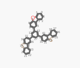 c1ccc2c(c1)oc1ccc(-c3cc(-c4ccc5sc6ccccc6c5c4)cc(-c4ccc5sc6ccccc6c5c4)c3)cc12